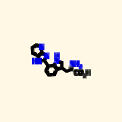 N[C@@H](Cc1c[nH]c2c(-c3nc4ncccc4[nH]3)cccc12)C(=O)O